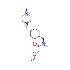 CCOCC(=O)N(C)C[C@H]1CC[C@H](CN2CCN(C)CC2)CC1